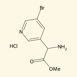 COC(=O)C(N)c1cncc(Br)c1.Cl